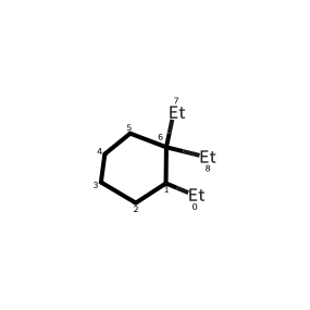 CCC1CCCCC1(CC)CC